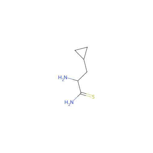 NC(=S)C(N)CC1CC1